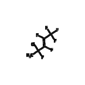 CC(F)(Cl)C(F)=C(F)C(F)(F)F